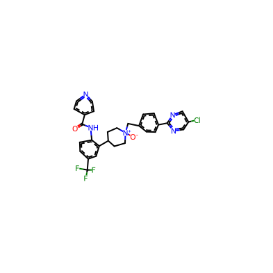 O=C(Nc1ccc(C(F)(F)F)cc1C1CC[N+]([O-])(Cc2ccc(-c3ncc(Cl)cn3)cc2)CC1)c1ccncc1